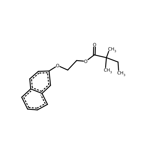 CCC(C)(C)C(=O)OCCOc1ccc2ccccc2c1